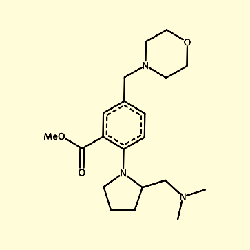 COC(=O)c1cc(CN2CCOCC2)ccc1N1CCCC1CN(C)C